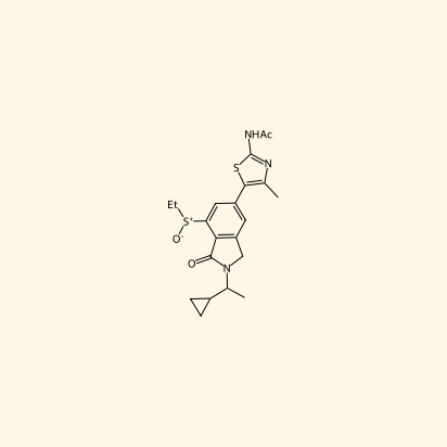 CC[S+]([O-])c1cc(-c2sc(NC(C)=O)nc2C)cc2c1C(=O)N(C(C)C1CC1)C2